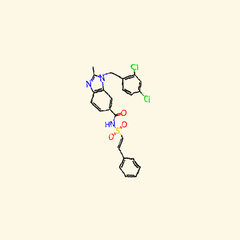 Cc1nc2ccc(C(=O)NS(=O)(=O)/C=C/c3ccccc3)cc2n1Cc1ccc(Cl)cc1Cl